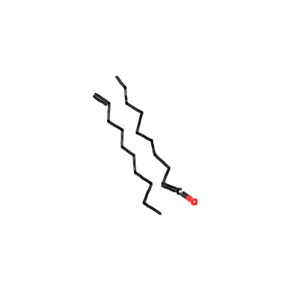 C=CCCCCCCCC.CCCCCCCCC=C=O